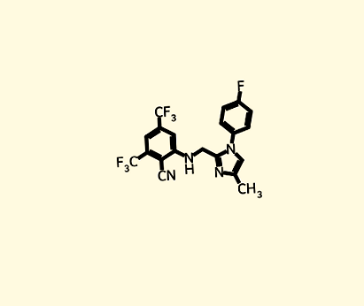 Cc1cn(-c2ccc(F)cc2)c(CNc2cc(C(F)(F)F)cc(C(F)(F)F)c2C#N)n1